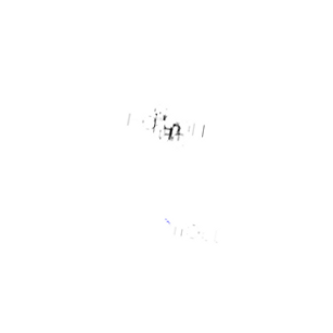 CCCCCCCC/C=C\CCCCCCCCOP(=O)(O)OP(=O)(O)O